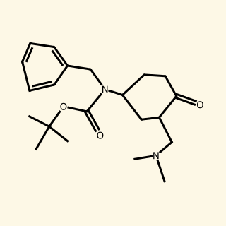 CN(C)CC1CC(N(Cc2ccccc2)C(=O)OC(C)(C)C)CCC1=O